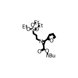 CCCCOC(=O)C1C(c2ccco2)N1CCC[Si](OCC)(OCC)OCC